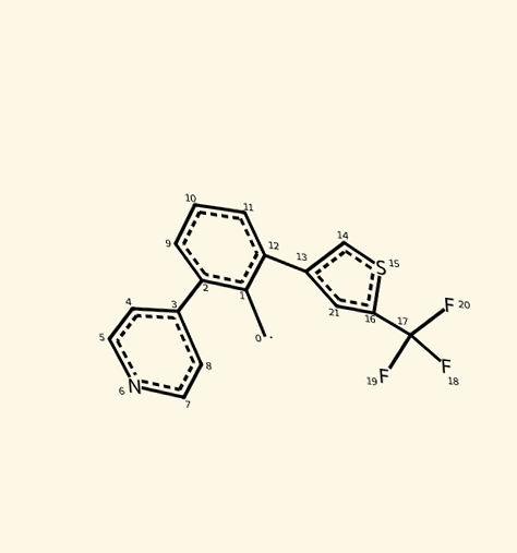 [CH2]c1c(-c2ccncc2)cccc1-c1csc(C(F)(F)F)c1